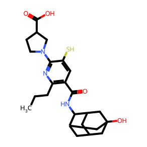 CCCc1nc(N2CCC(C(=O)O)C2)c(S)cc1C(=O)NC1C2CC3CC1CC(O)(C3)C2